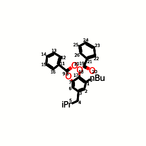 CCCCc1cc(CC(C)C)cc(OC(=O)c2ccccc2)c1OC(=O)c1ccccc1